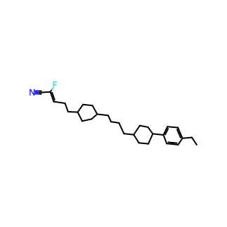 CCc1ccc(C2CCC(CCCCC3CCC(CCC=C(F)C#N)CC3)CC2)cc1